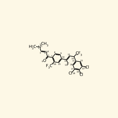 CN(C)C=NC(=O)c1ccc(/C(F)=C/C(c2cc(Cl)c(Cl)c(Cl)c2)C(F)(F)F)cc1C(F)(F)F